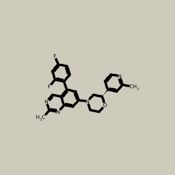 Cc1cc([C@H]2CN(c3cc(-c4ccc(F)cc4F)c4cnc(C)nc4c3)CCO2)ccn1